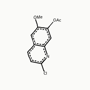 COc1cc2ccc(Cl)nc2cc1OC(C)=O